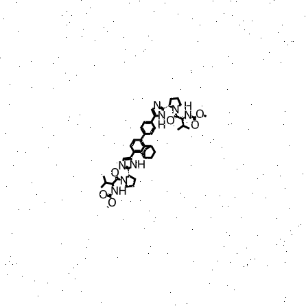 COC(=O)NC(C(=O)N1CCC[C@H]1c1ncc(-c2ccc(-c3ccc(-c4cnc([C@@H]5CCCN5C(=O)[C@@H](NC(=O)OC)C(C)C)[nH]4)cc3)c3c2C2CCC3CC2)[nH]1)C(C)C